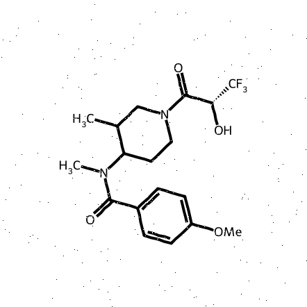 COc1ccc(C(=O)N(C)C2CCN(C(=O)[C@@H](O)C(F)(F)F)CC2C)cc1